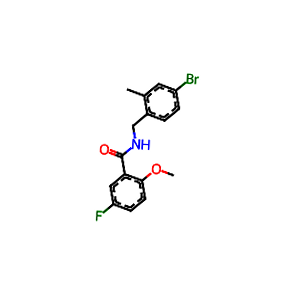 COc1ccc(F)cc1C(=O)NCc1ccc(Br)cc1C